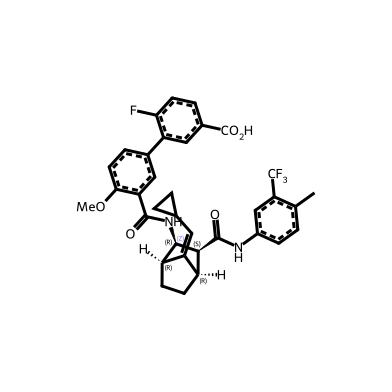 COc1ccc(-c2cc(C(=O)O)ccc2F)cc1C(=O)N[C@H]1[C@@H](C(=O)Nc2ccc(C)c(C(F)(F)F)c2)[C@H]2CC[C@@H]1/C2=C\C1CC1